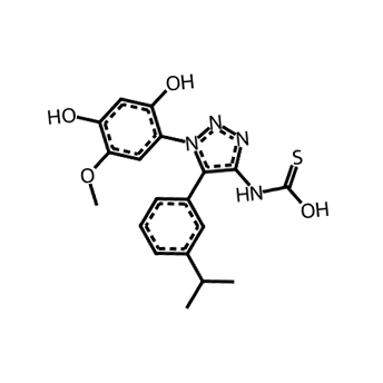 COc1cc(-n2nnc(NC(O)=S)c2-c2cccc(C(C)C)c2)c(O)cc1O